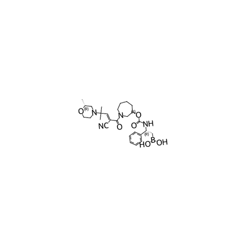 C[C@@H]1CN(C(C)(C)C=C(C#N)C(=O)N2CCCC[C@@H](OC(=O)N[C@H](CB(O)O)c3ccccc3)C2)CCO1